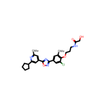 COc1cc(-c2nc(-c3cc(Cl)c(OCCCNC(=O)CO)c(OC)c3)no2)cc(C2CCCC2)n1